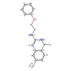 CC1NC(NCCOc2ccccc2)=Nc2cc(C(F)(F)F)ccc21